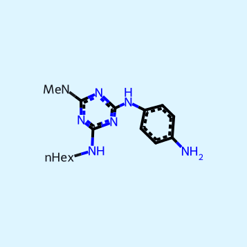 CCCCCCNc1nc(NC)nc(Nc2ccc(N)cc2)n1